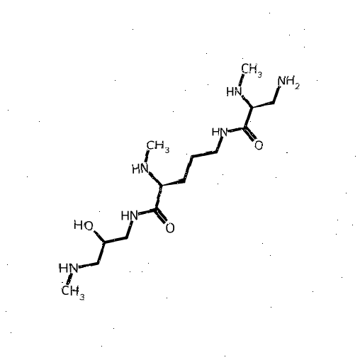 CNCC(O)CNC(=O)[C@H](CCCNC(=O)[C@H](CN)NC)NC